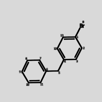 Brc1ccc(Cc2cc[c]cc2)cc1